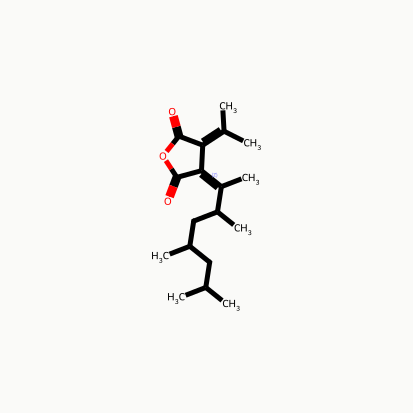 CC(C)=C1C(=O)OC(=O)/C1=C(/C)C(C)CC(C)CC(C)C